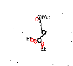 CCOCOc1cc(C=Cc2cccc(C=CCCCCC(=O)OC)c2)cc(OCOCC)c1